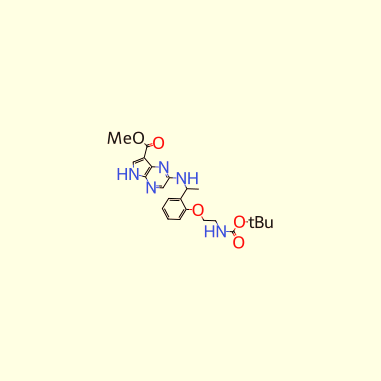 COC(=O)c1c[nH]c2ncc(NC(C)c3ccccc3OCCNC(=O)OC(C)(C)C)nc12